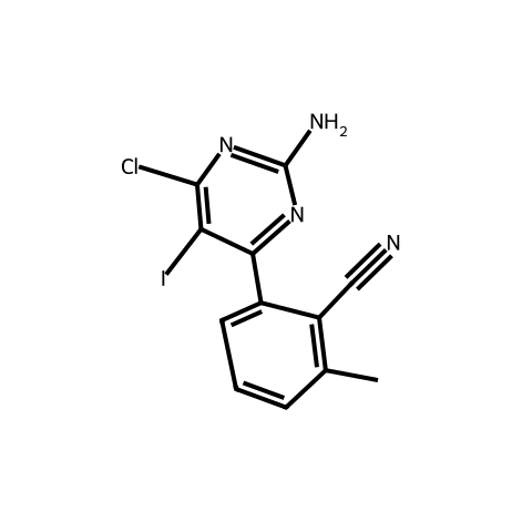 Cc1cccc(-c2nc(N)nc(Cl)c2I)c1C#N